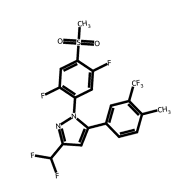 Cc1ccc(-c2cc(C(F)F)nn2-c2cc(F)c(S(C)(=O)=O)cc2F)cc1C(F)(F)F